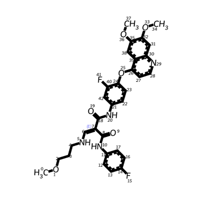 COCCCN/C=C(\C(=O)Nc1ccc(F)cc1)C(=O)Nc1ccc(Oc2ccnc3cc(OC)c(OC)cc23)c(F)c1